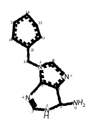 NC1NC=Nc2c1ncn2Cc1ccccc1